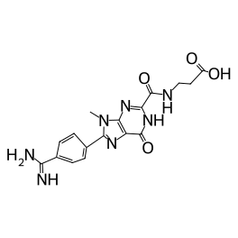 Cn1c(-c2ccc(C(=N)N)cc2)nc2c(=O)[nH]c(C(=O)NCCC(=O)O)nc21